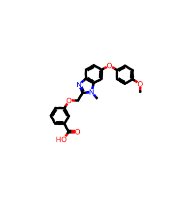 COc1ccc(Oc2ccc3nc(COc4cccc(C(=O)O)c4)n(C)c3c2)cc1